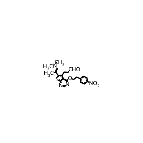 C/C(=C\N(C)C)c1sc2ncnc(OCCc3ccc([N+](=O)[O-])cc3)c2c1CCC=O